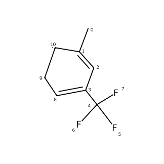 CC1=CC(C(F)(F)F)=CC[CH]1